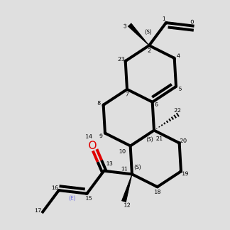 C=C[C@]1(C)CC=C2C(CCC3[C@@](C)(C(=O)/C=C/C)CCC[C@]23C)C1